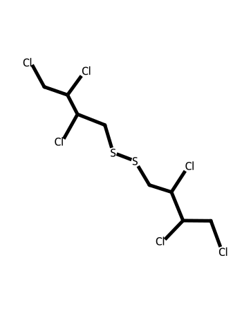 ClCC(Cl)C(Cl)CSSCC(Cl)C(Cl)CCl